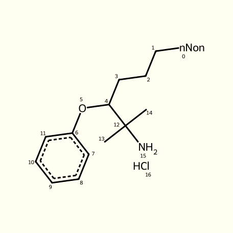 CCCCCCCCCCCCC(Oc1ccccc1)C(C)(C)N.Cl